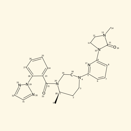 C[C@@H]1CCN(c2cccc(N3CCN(C)C3=O)n2)CCN1C(=O)c1ccccc1-n1nccn1